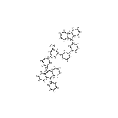 N#Cc1cc(-c2cccc(-c3cccc(-n4c5ccccc5c5ccccc54)c3)c2)cc(-c2cccc(-c3c4ccccc4c(-c4ccccc4)c4ccccc34)c2)c1